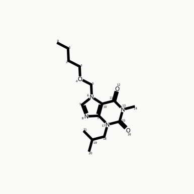 CCCCOCn1cnc2c1c(=O)n(C)c(=O)n2CC(C)C